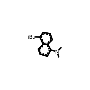 CCC(C)c1cccc2c(N(C)C)cccc12